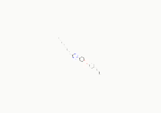 CCCCCCCCCCc1cnc(-c2ccc(OC(=O)C3CC=C(CCC=C(C)C)CC3)cc2)nc1